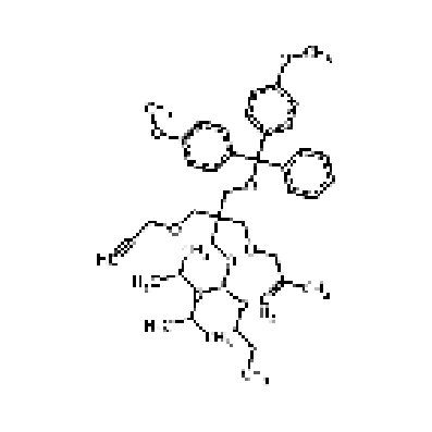 C#CCOCC(COCC(=C)C)(COP(OCCC)N(C(C)C)C(C)C)COC(c1ccccc1)(c1ccc(OC)cc1)c1ccc(OC)cc1